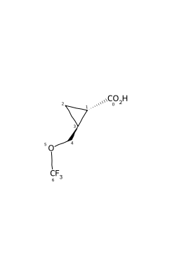 O=C(O)[C@H]1C[C@@H]1COC(F)(F)F